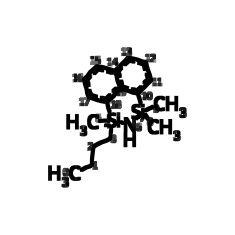 CCCC[Si]1(C)N[Si](C)(C)c2cccc3cccc1c23